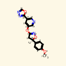 C[C@]1(c2ccc(OC(F)(F)F)cc2)CC(Oc2cncc(-c3nnco3)c2)=NO1